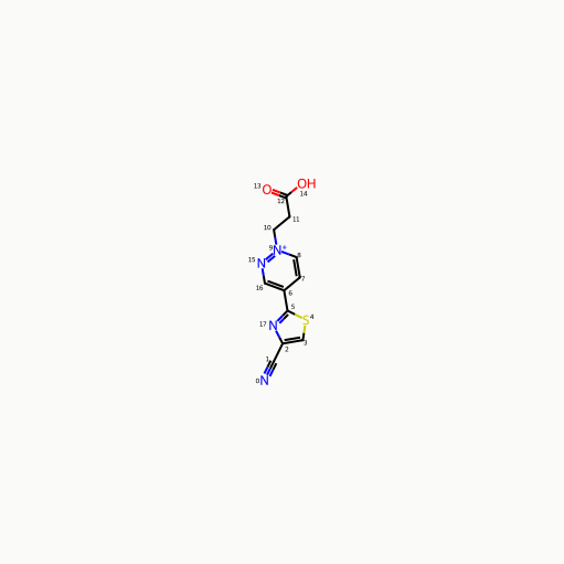 N#Cc1csc(-c2cc[n+](CCC(=O)O)nc2)n1